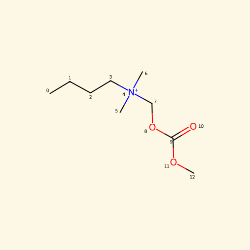 CCCC[N+](C)(C)COC(=O)OC